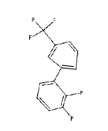 Fc1cccc(-c2cc[c]c(C(F)(F)F)c2)c1F